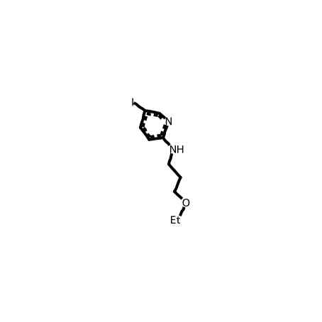 CCOCCCNc1ccc(I)cn1